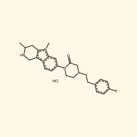 CC1Cc2c(c3ccc(N4CCN(CCc5ccc(F)cc5)CC4=O)cc3n2C)CN1.Cl